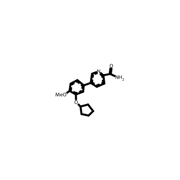 COc1ccc(-c2ccc(C(N)=O)nc2)cc1OC1CCCC1